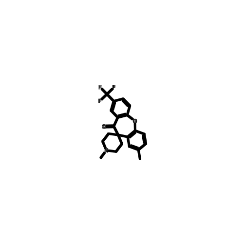 Cc1ccc2c(c1)C1(CCN(C)CC1)C(=O)c1cc(C(F)(F)F)ccc1O2